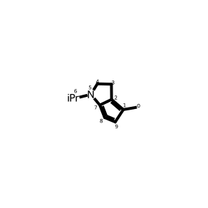 CC1=C2CCN(C(C)C)C2=C=C1